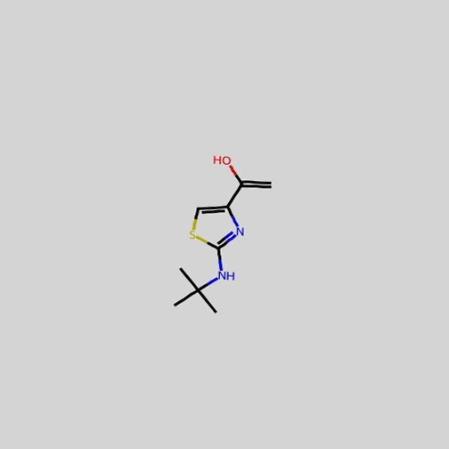 C=C(O)c1csc(NC(C)(C)C)n1